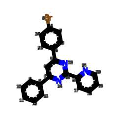 Brc1ccc(-c2cc(-c3ccccc3)nc(-c3ccccn3)n2)cc1